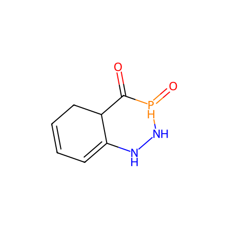 O=C1C2CC=CC=C2NN[PH]1=O